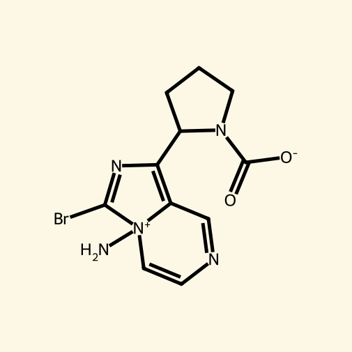 N[N+]12C=CN=CC1=C(C1CCCN1C(=O)[O-])N=C2Br